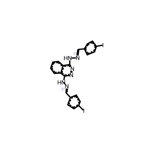 Ic1ccc(/C=N/Nc2nnc(N/N=C/c3ccc(I)cc3)c3ccccc23)cc1